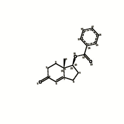 C[C@]12CCC(=O)C=C1CC[C@@H]2OC(=O)c1ccccc1